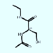 CCNC(=O)[C@@H](CO)NC(C)=O